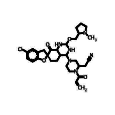 C=CC(=O)N1CCN(C2NC(OCC3CCCN3C)NC3C(=O)[C@@]4(CCC32)Cc2cc(Cl)ccc2O4)CC1CC#N